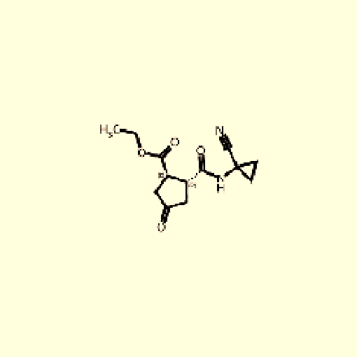 CCOC(=O)[C@@H]1CC(=O)C[C@H]1C(=O)NC1(C#N)CC1